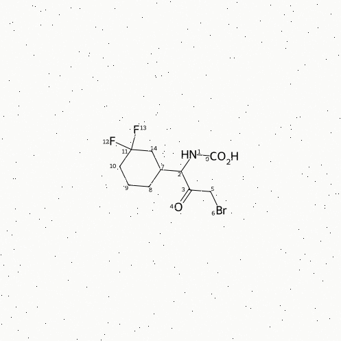 O=C(O)NC(C(=O)CBr)C1CCCC(F)(F)C1